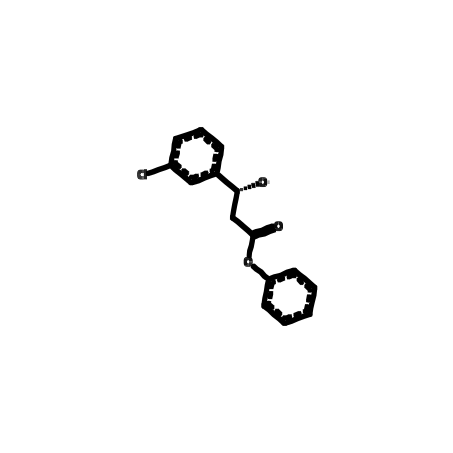 [O][C@H](CC(=O)Oc1ccccc1)c1cccc(Cl)c1